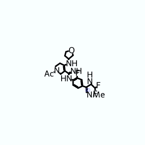 CN/C=C(\C(=N)C(F)F)c1ccc(NC(=N)C2=C(NC3CCOC3)CCN(C(C)=O)C2)c(F)c1